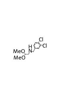 COC(CNCc1ccc(Cl)c(Cl)c1)OC